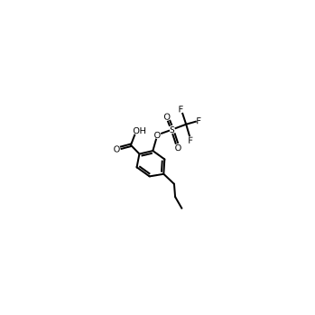 CCCc1ccc(C(=O)O)c(OS(=O)(=O)C(F)(F)F)c1